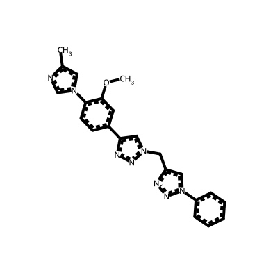 COc1cc(-c2cn(Cc3cn(-c4ccccc4)nn3)nn2)ccc1-n1cnc(C)c1